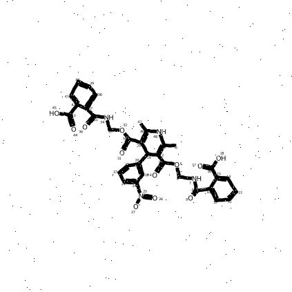 CC1=C(C(=O)OCNC(=O)c2ccccc2C(=O)O)C(c2cccc([N+](=O)[O-])c2)C(C(=O)OCNC(=O)c2ccccc2C(=O)O)=C(C)N1